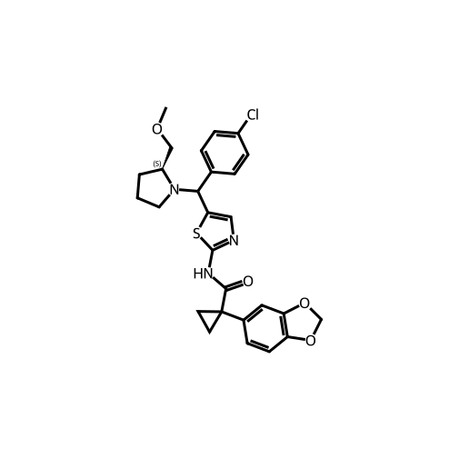 COC[C@@H]1CCCN1C(c1ccc(Cl)cc1)c1cnc(NC(=O)C2(c3ccc4c(c3)OCO4)CC2)s1